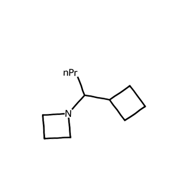 [CH2]CCC(C1CCC1)N1CCC1